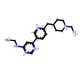 CC(C)(C)CNc1cc(-c2ccc(CC3CCN(CC(F)(F)F)CC3)nc2)ncn1